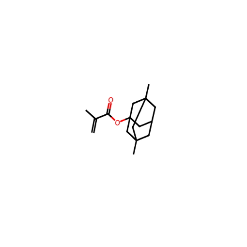 C=C(C)C(=O)OC12CC3CC(C)(CC(C)(C3)C1)C2